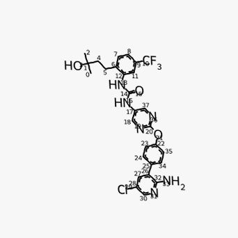 CC(C)(O)CCc1ccc(C(F)(F)F)cc1NC(=O)Nc1cnc(Oc2ccc(-c3cc(Cl)cnc3N)cc2)nc1